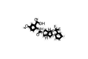 COc1ccc(NC(=O)N2C[C@H]3C[C@@H](C4C=CC=CC4C(F)(F)F)C[C@H]3C2)c(C(=O)O)c1